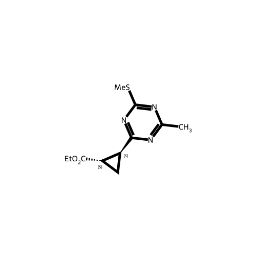 CCOC(=O)[C@H]1C[C@@H]1c1nc(C)nc(SC)n1